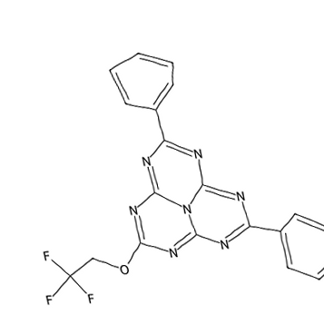 FC(F)(F)COC1=NC2=NC(c3ccccc3)=NC3=NC(c4ccccc4)=NC(=N1)N23